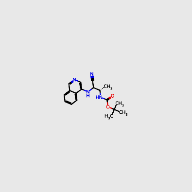 C[C@H](NC(=O)OC(C)(C)C)C(C#N)Nc1cncc2ccccc12